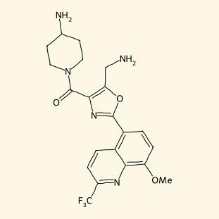 COc1ccc(-c2nc(C(=O)N3CCC(N)CC3)c(CN)o2)c2ccc(C(F)(F)F)nc12